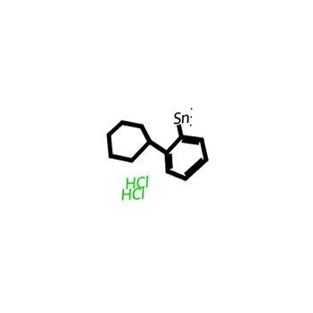 Cl.Cl.[Sn][c]1ccccc1C1CCCCC1